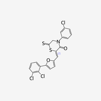 O=C1/C(=C/c2ccc(-c3cccc(Cl)c3Cl)o2)SC(=S)CN1c1cccc(Cl)c1